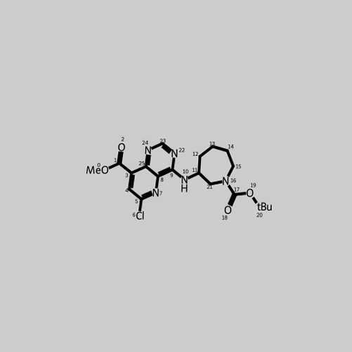 COC(=O)c1cc(Cl)nc2c(NC3CCCCN(C(=O)OC(C)(C)C)C3)ncnc12